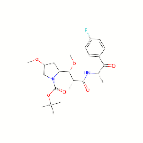 COC1CC([C@H](OC)[C@@H](C)C(=O)N[C@@H](C)C(=O)c2ccc(F)cc2)N(C(=O)OC(C)(C)C)C1